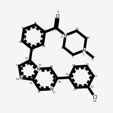 CN1CCN(C(=O)c2cccc(-c3cnc4cnc(-c5cccc(Cl)c5)cn34)c2)CC1